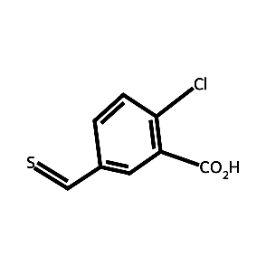 O=C(O)c1cc(C=S)ccc1Cl